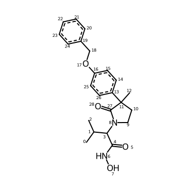 CC(C)C(C(=O)NO)N1CCC(C)(c2ccc(OCc3ccccc3)cc2)C1=O